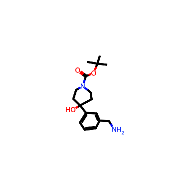 CC(C)(C)OC(=O)N1CCC(O)(c2cccc(CN)c2)CC1